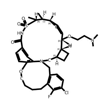 C[C@@H]1[C@@H](C)S(=O)(=O)NC(=O)c2ccc3c(c2)N(Cc2ccc(Cl)c(F)c2CCCCO3)C[C@@H]2CC[C@H]2[C@@H](OCCN(C)C)C2=C[C@H]1C2